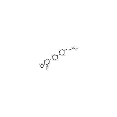 C/C=C/CCC1CCC(c2ccc(-c3ccc(OC)c(F)c3)cc2)CC1